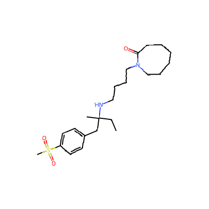 CCC(C)(Cc1ccc(S(C)(=O)=O)cc1)NCCCCN1CCCCCCC1=O